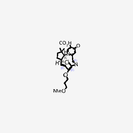 COCCCOC1=C(Cl)\N=C\c2cc(=O)c(C(=O)O)cn2[C@H]2[C@@H](\C=C\1)CCC2(C)C